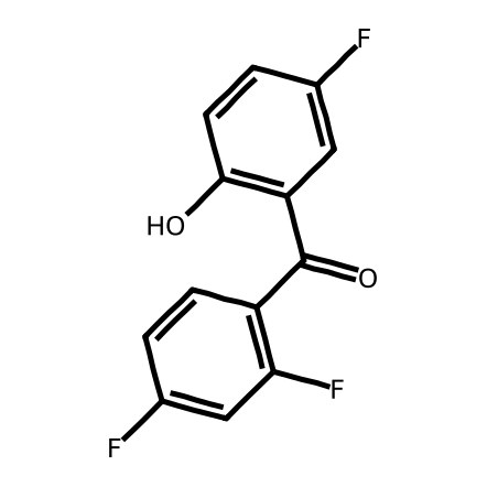 O=C(c1cc(F)ccc1O)c1ccc(F)cc1F